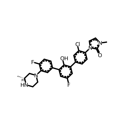 C[C@@H]1CN(c2cc(-c3cc(F)cc(-c4ccc(-n5ccn(C)c5=O)c(Cl)c4)c3O)ccc2F)CCN1